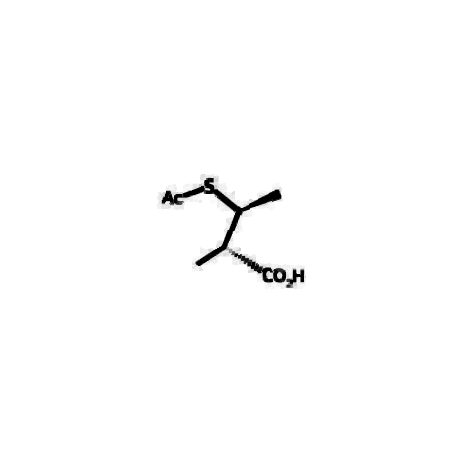 CC(=O)S[C@@H](C)[C@@H](C)C(=O)O